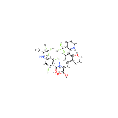 CC(Nc1cc(F)c(C(=O)NC(Cc2ccc(-c3ncccc3C(F)(F)F)c3c2CCCO3)C(=O)O)c(F)c1)C(F)(F)F